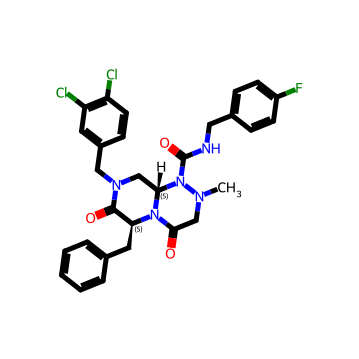 CN1CC(=O)N2[C@@H](Cc3ccccc3)C(=O)N(Cc3ccc(Cl)c(Cl)c3)C[C@@H]2N1C(=O)NCc1ccc(F)cc1